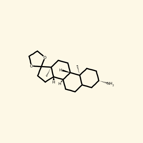 C[C@]12CC[C@H](N)CC1CC[C@@H]1[C@@H]2CC[C@@]2(C)[C@H]1CCC21OCCO1